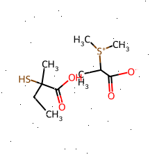 CC(C(=O)[O-])[S+](C)C.CCC(C)(S)C(=O)O